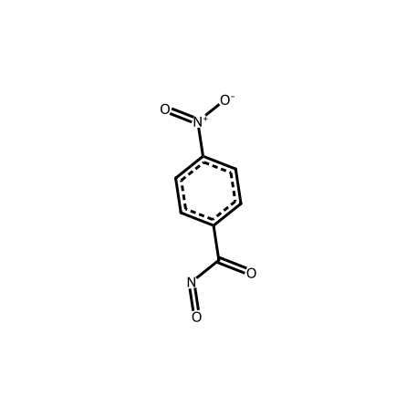 O=NC(=O)c1ccc([N+](=O)[O-])cc1